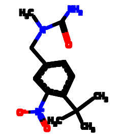 CN(Cc1ccc(C(C)(C)C)c([N+](=O)[O-])c1)C(N)=O